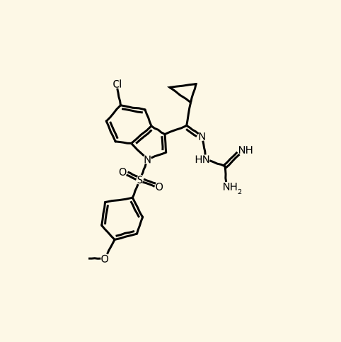 COc1ccc(S(=O)(=O)n2cc(/C(=N\NC(=N)N)C3CC3)c3cc(Cl)ccc32)cc1